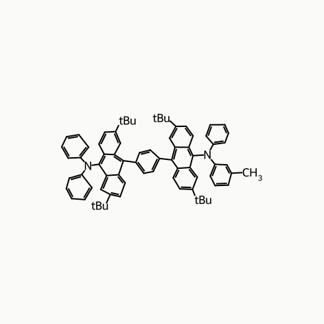 Cc1cccc(N(c2ccccc2)c2c3ccc(C(C)(C)C)cc3c(-c3ccc(-c4c5cc(C(C)(C)C)ccc5c(N(c5ccccc5)c5ccccc5)c5cc(C(C)(C)C)ccc45)cc3)c3ccc(C(C)(C)C)cc23)c1